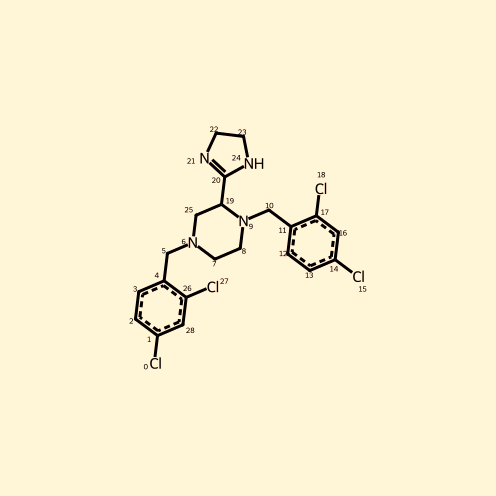 Clc1ccc(CN2CCN(Cc3ccc(Cl)cc3Cl)C(C3=NCCN3)C2)c(Cl)c1